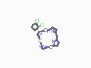 C1=Cc2cc3ccc(cc4nc(cc5ccc(cc1n2)[nH]5)C=C4)[nH]3.Clc1ccccc1Cl